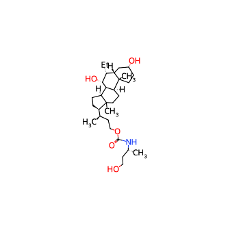 CC[C@H]1[C@@H](O)C2[C@@H]3CC[C@H]([C@H](C)CCOC(=O)N[C@H](C)CCO)C3(C)CC[C@@H]2C2(C)CC[C@@H](O)C[C@@H]12